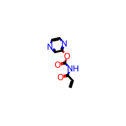 C=CC(=O)NC(=O)Oc1cnccn1